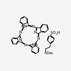 CCCCCCCCCCCCc1ccc(S(=O)(=O)O)cc1.c1ccc2c(c1)-c1nc-2nc2[nH]c(nc3nc(nc4[nH]c(n1)c1ccccc41)-c1ccccc1-3)c1ccccc21